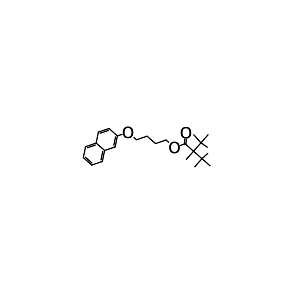 CC(C)(C)C(C)(C(=O)OCCCCOc1ccc2ccccc2c1)C(C)(C)C